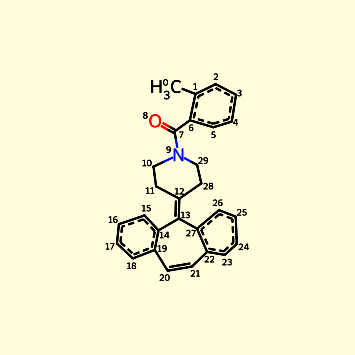 Cc1ccccc1C(=O)N1CCC(=C2c3ccccc3C=Cc3ccccc32)CC1